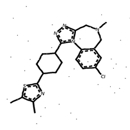 Cc1nc(C2CCC(c3nnc4n3-c3ccc(Cl)cc3CN(C)C4)CC2)sc1C